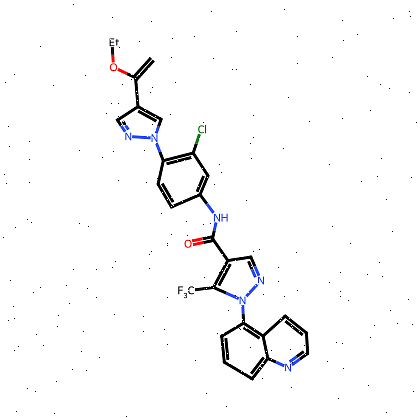 C=C(OCC)c1cnn(-c2ccc(NC(=O)c3cnn(-c4cccc5ncccc45)c3C(F)(F)F)cc2Cl)c1